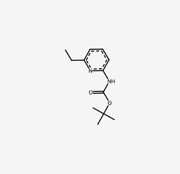 CCc1cccc(NC(=O)OC(C)(C)C)n1